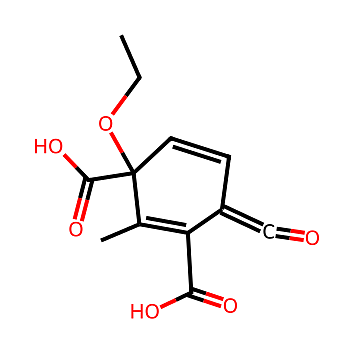 CCOC1(C(=O)O)C=CC(=C=O)C(C(=O)O)=C1C